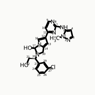 Cn1nccc1Nc1nccc(-c2cc3n(c2)C(O)N([C@H](CO)c2cccc(Cl)c2)C3)n1